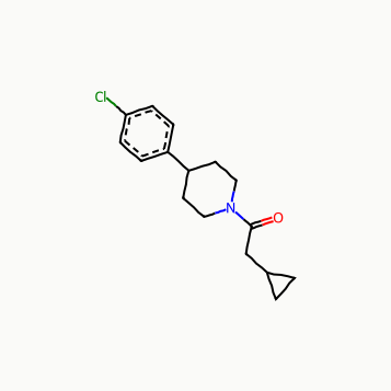 O=C(CC1CC1)N1CCC(c2ccc(Cl)cc2)CC1